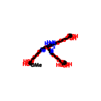 CO[C@@H]1C[C@@H](O)[C@@H](O)[C@@H](COCCOCCOCCOCCn2cc(COCC(N)(COC/C(N)=C/N(N)CCOCCOCCOCCOC[C@H]3OCC[C@@H](O)[C@H]3O)COCc3cn(CCOCCOCCOCCOC[C@@]4(CO)OCC[C@@H](O)[C@H]4O)nn3)nn2)O1